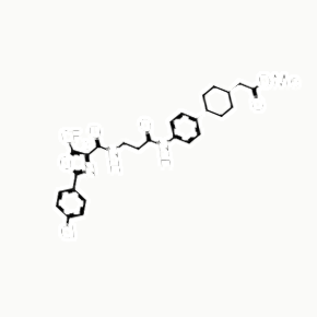 COC(=O)C[C@H]1CC[C@H](c2ccc(NC(=O)CCNC(=O)c3nc(-c4ccc(Cl)cc4)oc3C(F)(F)F)cc2)CC1